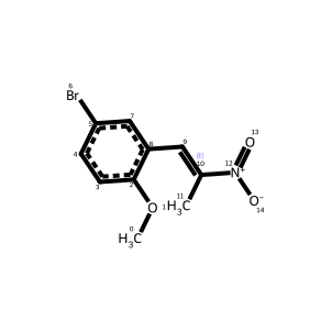 COc1ccc(Br)cc1/C=C(\C)[N+](=O)[O-]